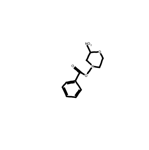 O=C(ON1CCOC([N+](=O)[O-])C1)c1ccccc1